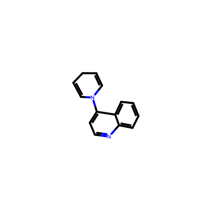 C1=CN(c2ccnc3ccccc23)C=CC1